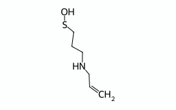 C=CCNCCCSO